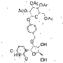 CC(=O)OCC1OC(Oc2ccc(COC3C(O)[C@@H](CO)O[C@H]3n3ccc(=O)[nH]c3=O)cc2)C(OC(C)=O)C(OC(C)=O)C1OC(C)=O